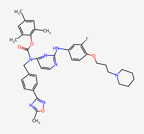 Cc1cc(C)c(OC(=O)N(Cc2ccc(-c3noc(C)n3)cc2)c2ccnc(Nc3ccc(OCCCN4CCCCC4)c(F)c3)n2)c(C)c1